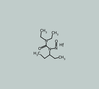 CCC(CC)N(N=O)C(=O)N(CC)CC.[Hf]